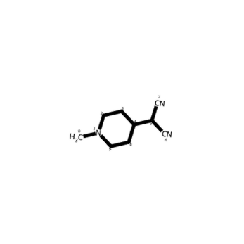 CN1CCC(C(C#N)C#N)CC1